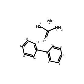 NC(=S)S.[Mn].c1ccc(-c2ccccc2)cc1